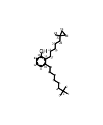 CC(C)(C)CCCCCCc1cccc(O)c1CCCCCC1(C)CC1